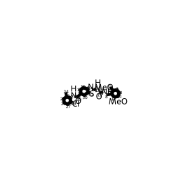 COc1cccc(OC)c1CNC(=O)Nc1nc2ccc(C(=O)Nc3c(C)cccc3Cl)cc2s1